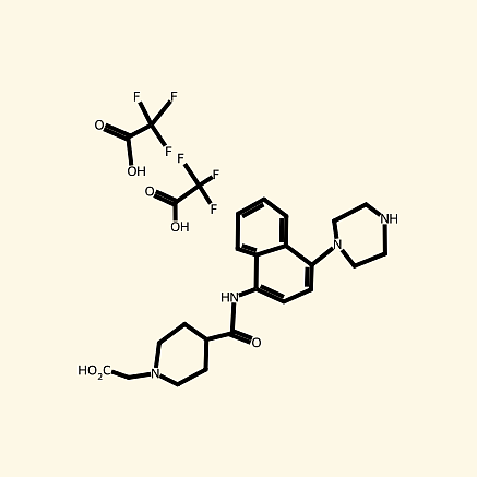 O=C(O)C(F)(F)F.O=C(O)C(F)(F)F.O=C(O)CN1CCC(C(=O)Nc2ccc(N3CCNCC3)c3ccccc23)CC1